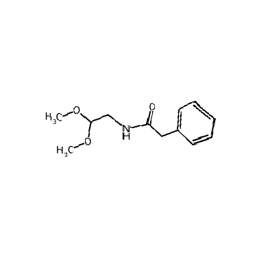 COC(CNC(=O)Cc1ccccc1)OC